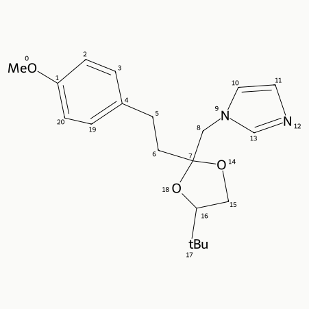 COc1ccc(CCC2(Cn3ccnc3)OCC(C(C)(C)C)O2)cc1